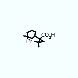 CC(C)C1(C)CCCC(C2(C(=O)O)CC2(C)C)C1